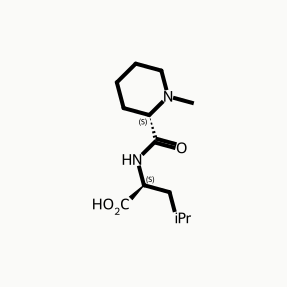 CC(C)C[C@H](NC(=O)[C@@H]1CCCCN1C)C(=O)O